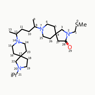 CSCN1CC2(CCN(C(C)CCC(C)N3CCC4(CCN(C(C)C)C4)CC3)CC2)CC1=O